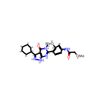 COCC(=O)Nc1ccc(-c2nc3[nH]nc(C4CCCCC4)c3c(=O)n2C)c(OC)c1